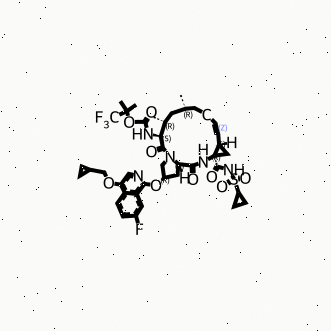 C[C@@H]1CC/C=C\[C@@H]2C[C@@]2(C(=O)NS(=O)(=O)C2CC2)NC(=O)[C@@H]2C[C@@H](Oc3ncc(OCC4CC4)c4ccc(F)cc34)CN2C(=O)[C@@H](NC(=O)OC(C)(C)C(F)(F)F)[C@H](C)C1